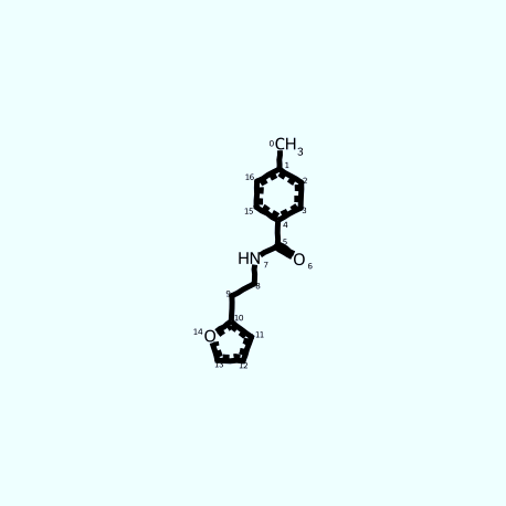 Cc1ccc(C(=O)NCCc2ccco2)cc1